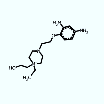 CC[N+]1(CCO)CCN(CCOc2ccc(N)cc2N)CC1